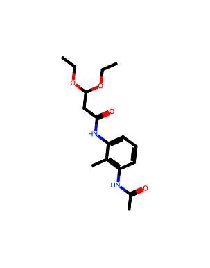 CCOC(CC(=O)Nc1cccc(NC(C)=O)c1C)OCC